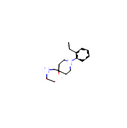 CCc1ccccc1N1CCC2(CC1)CNC(=O)CO2